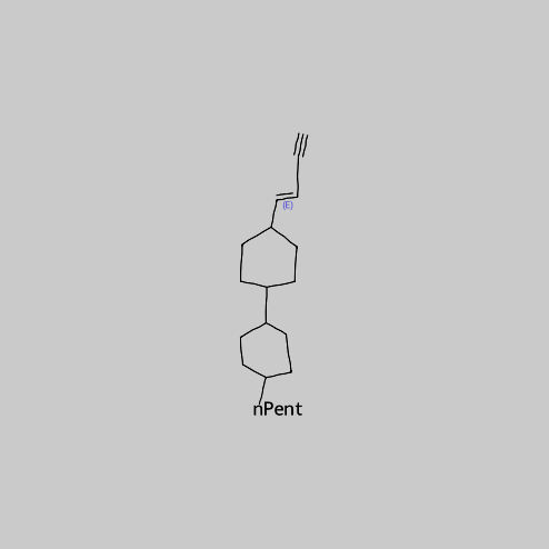 C#C/C=C/C1CCC(C2CCC(CCCCC)CC2)CC1